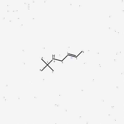 C/C=C/CNC(C)(C)C